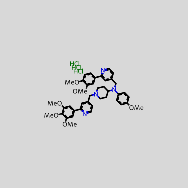 COc1ccc(N(Cc2ccnc(-c3ccc(OC)c(OC)c3)c2)C2CCN(Cc3ccnc(-c4cc(OC)c(OC)c(OC)c4)c3)CC2)cc1.Cl.Cl.Cl